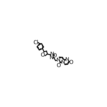 O=c1ccn2c(=O)n(Cc3nc(C4COC(c5ccc(Cl)cc5)C4)no3)ccc2n1